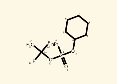 CCCP(=O)(OC1CCCCC1)OC(F)(F)C(F)(F)F